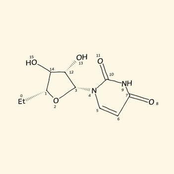 CC[C@H]1O[C@@H](n2ccc(=O)[nH]c2=O)[C@@H](O)C1O